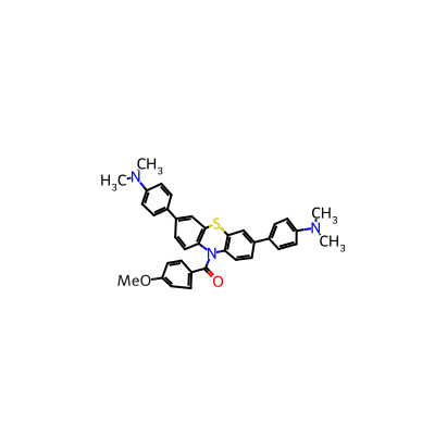 COc1ccc(C(=O)N2c3ccc(-c4ccc(N(C)C)cc4)cc3Sc3cc(-c4ccc(N(C)C)cc4)ccc32)cc1